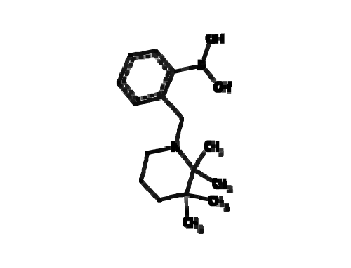 CC1(C)CCCN(Cc2ccccc2B(O)O)C1(C)C